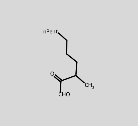 CCCCCCCCC(C)C(=O)C=O